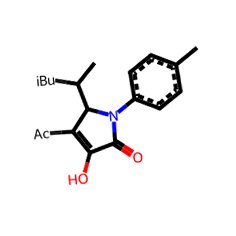 CCC(C)C(C)C1C(C(C)=O)=C(O)C(=O)N1c1ccc(C)cc1